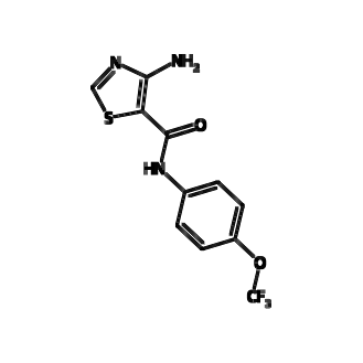 Nc1ncsc1C(=O)Nc1ccc(OC(F)(F)F)cc1